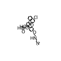 CN(C)CCNCCOc1ccc2c(c1)O[C@@]1(c3ccc(Cl)cc3)[C@H](c3ccccc3)C[C@H](O)[C@@]21O.O=CO